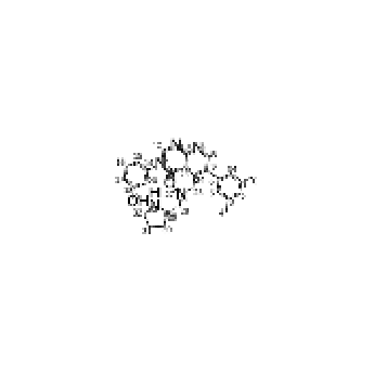 Cc1cc(C)cc(-c2cnc3ncn(-c4cccc(O)c4)c(=O)c3c2CN(C)C[C@@H]2CCCN2)c1